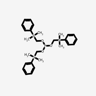 C[Si](C)(COP(OC[Si](C)(C)c1ccccc1)OC[Si](C)(C)c1ccccc1)c1ccccc1